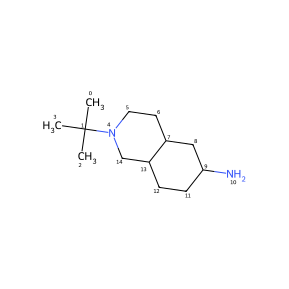 CC(C)(C)N1CCC2CC(N)CCC2C1